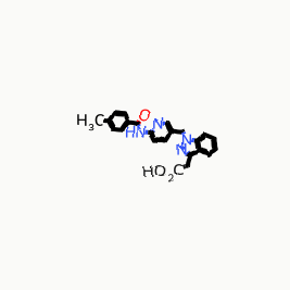 Cc1ccc(C(=O)Nc2ccc(Cn3nc(CC(=O)O)c4ccccc43)cn2)cc1